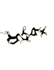 COc1cnccc1CN1C(=O)N(c2ccc(SC(F)(F)F)cc2)C(=O)C1C